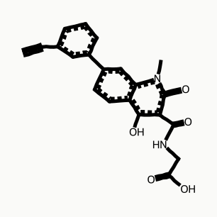 C#Cc1cccc(-c2ccc3c(O)c(C(=O)NCC(=O)O)c(=O)n(C)c3c2)c1